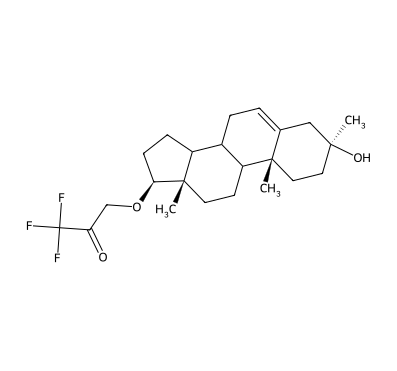 C[C@]1(O)CC[C@@]2(C)C(=CCC3C2CC[C@@]2(C)C3CC[C@@H]2OCC(=O)C(F)(F)F)C1